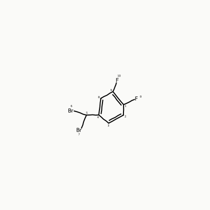 Fc1ccc(C(Br)Br)cc1F